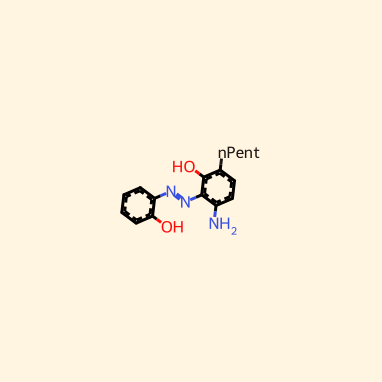 CCCCCc1ccc(N)c(N=Nc2ccccc2O)c1O